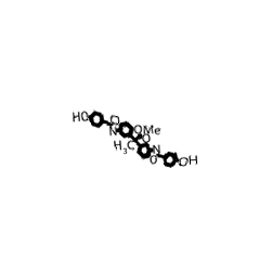 COC(=O)C(C)(c1ccc2oc(-c3ccc(O)cc3)nc2c1)c1ccc2oc(-c3ccc(O)cc3)nc2c1